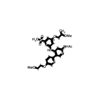 COCCOc1ccc(-c2cnc(NC(C)=O)cc2Nc2cc(OCC(C)OC)cc(S(C)(=O)=O)n2)nc1